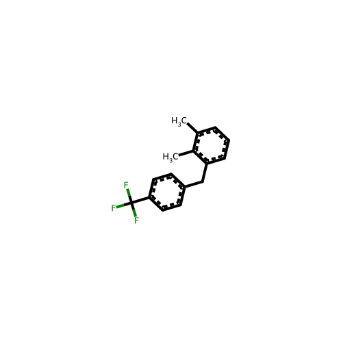 Cc1cccc(Cc2ccc(C(F)(F)F)cc2)c1C